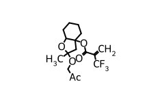 C=C(C(=O)OC12CCCCC1OC(C)(OCC(C)=O)C2)C(F)(F)F